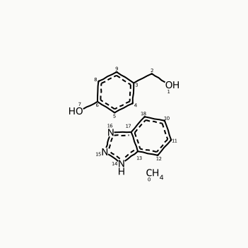 C.OCc1ccc(O)cc1.c1ccc2[nH]nnc2c1